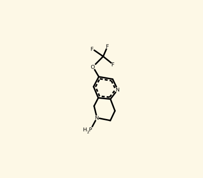 FC(F)(F)Oc1cnc2c(c1)CN(P)CC2